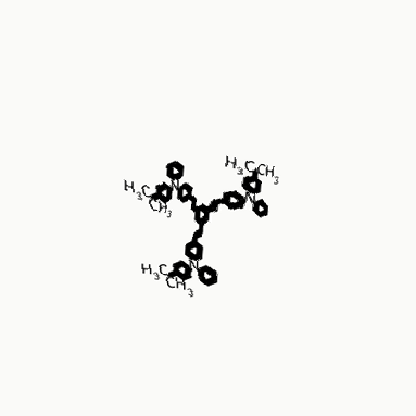 CC(C)c1ccc(N(c2ccccc2)c2ccc(/C=C/c3cc(/C=C/c4ccc(N(c5ccccc5)c5ccc(C(C)C)cc5)cc4)cc(/C=C/c4ccc(N(c5ccccc5)c5ccc(C(C)C)cc5)cc4)c3)cc2)cc1